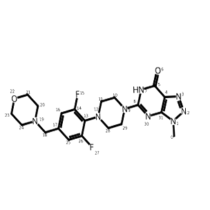 Cn1nnc2c(=O)[nH]c(N3CCN(c4c(F)cc(CN5CCOCC5)cc4F)CC3)nc21